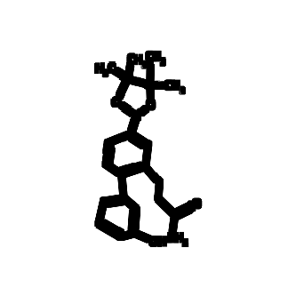 CC1(C)OB(c2ccc(-c3cccc(O)c3)c(CCC(N)=O)c2)OC1(C)C